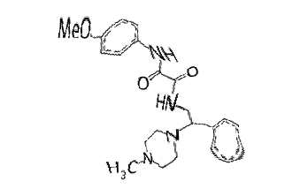 COc1ccc(NC(=O)C(=O)NCC(c2ccccc2)N2CCN(C)CC2)cc1